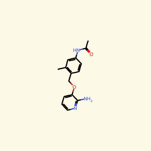 CC(=O)Nc1ccc(COc2cccnc2N)c(C)c1